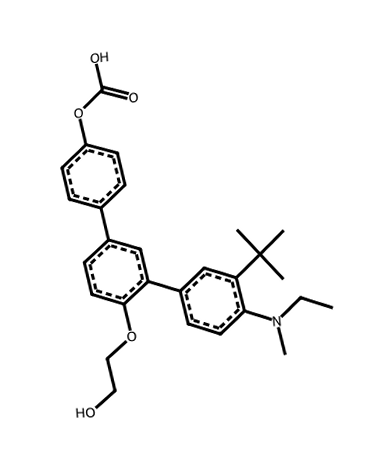 CCN(C)c1ccc(-c2cc(-c3ccc(OC(=O)O)cc3)ccc2OCCO)cc1C(C)(C)C